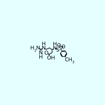 Cc1ccc(S(=O)(=O)SNC(CCNC(=N)N)CC(=O)O)cc1